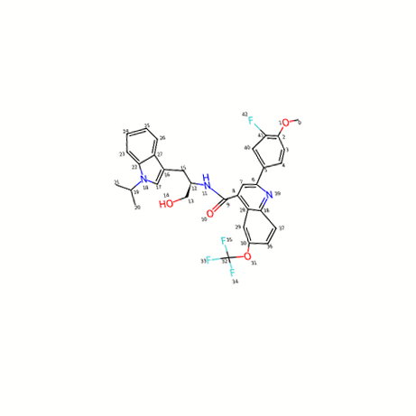 COc1ccc(-c2cc(C(=O)N[C@@H](CO)Cc3cn(C(C)C)c4ccccc34)c3cc(OC(F)(F)F)ccc3n2)cc1F